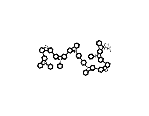 CC1(C)c2ccccc2-c2cc3c(cc21)c1cc(-c2cccc4oc5ccc(-c6ccc7c(c6)c6ccccc6n7-c6ccc(-c7ccc(-n8c9ccccc9c9ccc(-c%10ccc%11c(c%10)c%10cc(-c%12ccc%13oc%14cccc(-c%15ccc%16c(c%15)c%15ccccc%15n%16-c%15ccccc%15)c%14c%13c%12)ccc%10n%11-c%10ccccc%10)cc98)cc7)cc6)cc5c24)ccc1n3-c1ccccc1